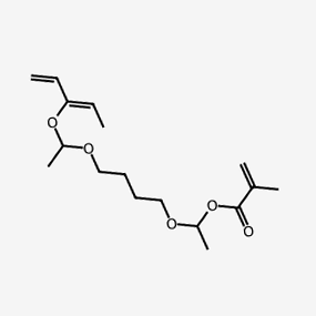 C=CC(=CC)OC(C)OCCCCOC(C)OC(=O)C(=C)C